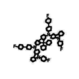 Fc1ccc(-c2ccc(N(c3ccc4c(c3)C(c3ccccc3)(c3ccccc3)c3cc(N(c5ccc(-c6ccc(F)cc6)cc5)c5ccc6c(c5)c5ccccc5n6-c5ccc(F)cc5)ccc3-4)c3ccc4c(c3)c3ccccc3n4-c3ccc(F)cc3)cc2)cc1